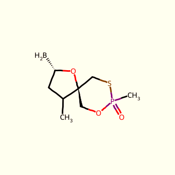 B[C@H]1CC(C)[C@]2(COP(C)(=O)SC2)O1